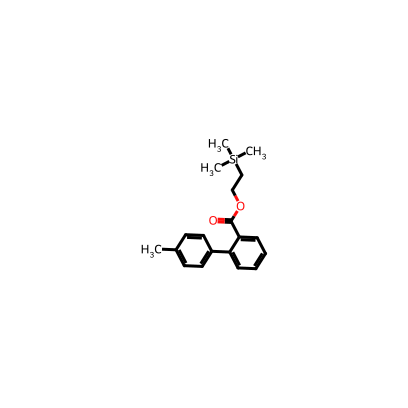 Cc1ccc(-c2ccccc2C(=O)OCC[Si](C)(C)C)cc1